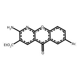 CCOC(=O)c1cc2c(=O)c3cc(C(C)=O)ccc3oc2nc1N